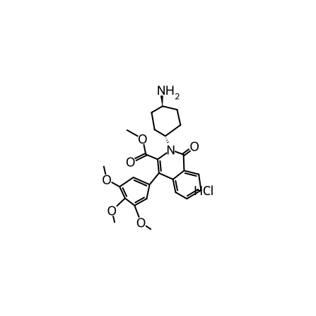 COC(=O)c1c(-c2cc(OC)c(OC)c(OC)c2)c2ccccc2c(=O)n1[C@H]1CC[C@H](N)CC1.Cl